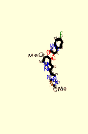 COc1cc(OC(Cc2ccc(F)cc2)C(N)=O)c2cc(-c3cn4nc(OC)sc4n3)nn2c1